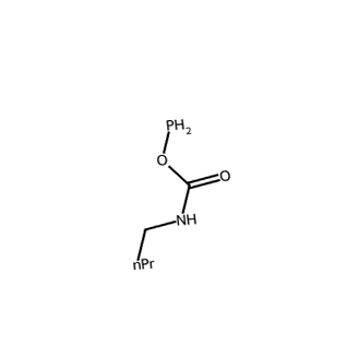 CCCCNC(=O)OP